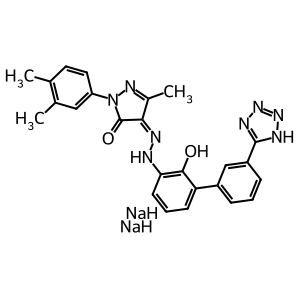 CC1=NN(c2ccc(C)c(C)c2)C(=O)/C1=N\Nc1cccc(-c2cccc(-c3nnn[nH]3)c2)c1O.[NaH].[NaH]